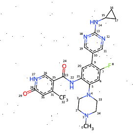 CN1CCN(c2cc(F)c(-c3cnc(NC4CC4)nc3)cc2NC(=O)c2c[nH]c(=O)cc2C(F)(F)F)CC1